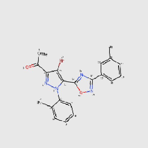 COC(=O)c1nn(-c2ccccc2C(C)C)c(-c2nc(-c3cccc(C)c3)no2)c1Br